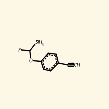 C#Cc1ccc(OC(F)[SiH3])cc1